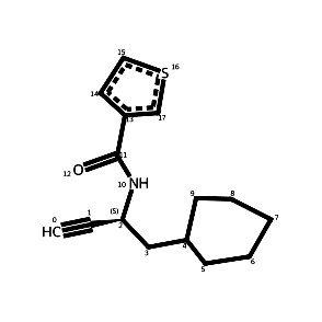 C#C[C@H](CC1CCCCC1)NC(=O)c1ccsc1